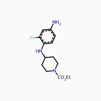 CCOC(=O)N1CCC(Nc2ccc(N)cc2F)CC1